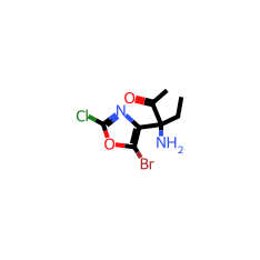 CCC(N)(C(C)=O)c1nc(Cl)oc1Br